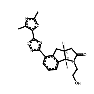 Cc1nc(C)c(-c2nc(-c3cccc4c3C[C@@H]3CC(=O)N(CCO)[C@H]43)no2)o1